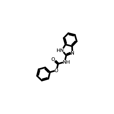 O=C(Nc1nc2ccccc2[nH]1)Oc1ccccc1